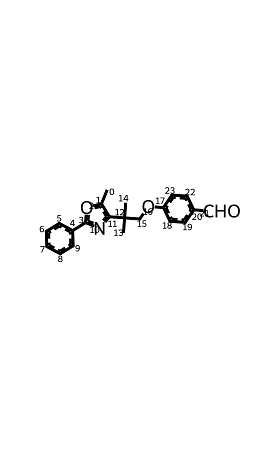 Cc1oc(-c2ccccc2)nc1C(C)(C)COc1ccc(C=O)cc1